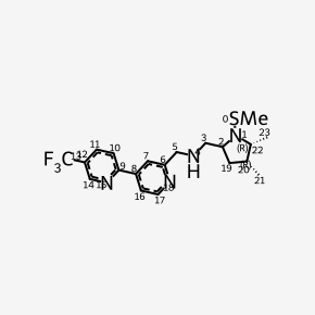 CSN1C(CNCc2cc(-c3ccc(C(F)(F)F)cn3)ccn2)C[C@@H](C)[C@H]1C